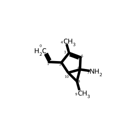 C=CC1C(C)=CC2(N)C(C)C12